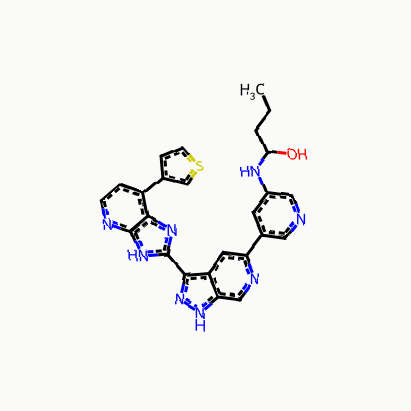 CCCC(O)Nc1cncc(-c2cc3c(-c4nc5c(-c6ccsc6)ccnc5[nH]4)n[nH]c3cn2)c1